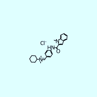 Cn1c(C(=O)Nc2ccc(C[N+](C)(C)C3CCCCC3)cc2)cc2ccccc21.[Cl-]